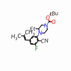 CCC1CN(C(=O)OC(C)(C)C)CCN1c1cc(C=C(C)C)cc(F)c1C#N